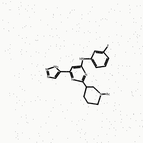 CC(=O)N1CCCC(c2nc(Nc3cccc(F)c3)cc(-c3cnn[nH]3)n2)C1